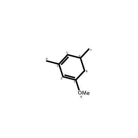 COC1=CC(C)=CC(C)[CH]1